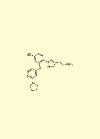 N#Cc1ccc(-n2cc(CCN)cn2)c(Oc2cnnc(N3CCCC3)c2)c1